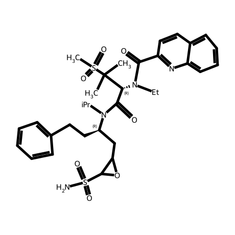 CCN(C(=O)c1ccc2ccccc2n1)[C@H](C(=O)N(C(C)C)[C@H](CCc1ccccc1)CC1OC1S(N)(=O)=O)C(C)(C)S(C)(=O)=O